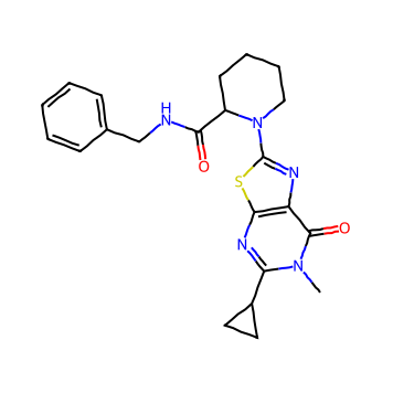 Cn1c(C2CC2)nc2sc(N3CCCCC3C(=O)NCc3ccccc3)nc2c1=O